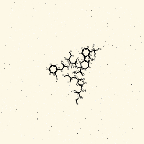 CCNC(=O)Nc1nnc([C@@H](NC(=O)[C@@]2(NC(=O)[C@H](NC(=O)Cc3ccccc3F)C(C)CC)CCc3[nH]c4c(C(F)(F)F)cccc4c3C2)C(C)CC)o1